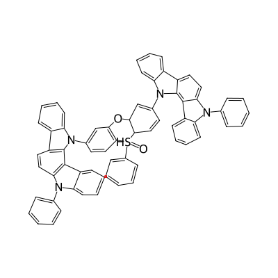 O=[SH]1(c2ccccc2)c2ccc(-n3c4ccccc4c4ccc5c(c6ccccc6n5-c5ccccc5)c43)cc2OC2C=C(n3c4ccccc4c4ccc5c(c6ccccc6n5-c5ccccc5)c43)C=CC21